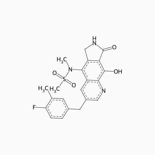 Cc1cc(Cc2cnc3c(O)c4c(c(N(C)S(C)(=O)=O)c3c2)CNC4=O)ccc1F